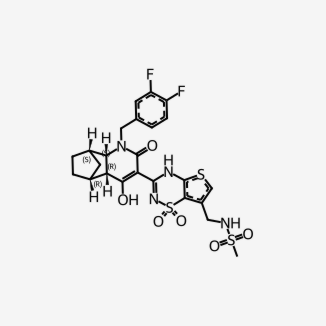 CS(=O)(=O)NCc1csc2c1S(=O)(=O)N=C(C1=C(O)[C@@H]3[C@@H]4CC[C@@H](C4)[C@@H]3N(Cc3ccc(F)c(F)c3)C1=O)N2